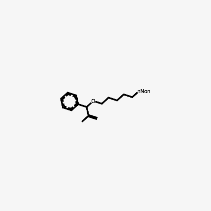 C=C(C)C(OCCCCCCCCCCCCCC)c1ccccc1